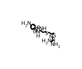 N=C(CCSCc1csc(N=C(N)N)n1)NS(=O)(=O)c1ccc(N)cc1